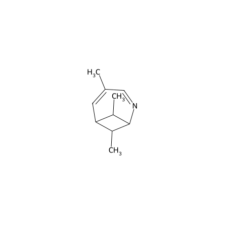 CC1=CC2C(C)C(N=C1)C2C